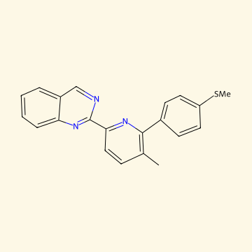 CSc1ccc(-c2nc(-c3ncc4ccccc4n3)ccc2C)cc1